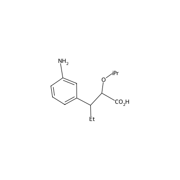 CCC(c1cccc(N)c1)C(OC(C)C)C(=O)O